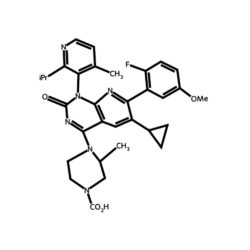 COc1ccc(F)c(-c2nc3c(cc2C2CC2)c(N2CCN(C(=O)O)CC2C)nc(=O)n3-c2c(C)ccnc2C(C)C)c1